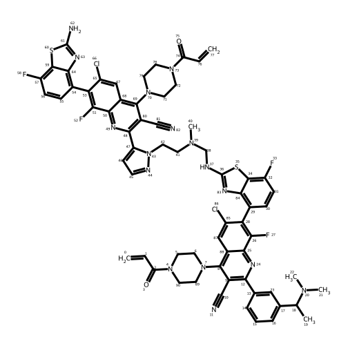 C=CC(=O)N1CCN(c2c(C#N)c(-c3cccc(C(C)N(C)C)c3)nc3c(F)c(-c4ccc(F)c5sc(NCN(C)CCn6nccc6-c6nc7c(F)c(-c8ccc(F)c9sc(N)nc89)c(Cl)cc7c(N7CCN(C(=O)C=C)CC7)c6C#N)nc45)c(Cl)cc23)CC1